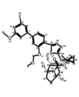 COCOc1cc(-c2cc(F)nc(OC)c2)ccc1-c1nnc(N(C2CC2)[C@@H]2C[C@H]3CC[C@@H]([C@@H]2F)N3C(=O)OC(C)(C)C)s1